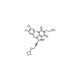 Cn1c2c(c(=O)n(CCO)c1=O)NC(C#CCOC1CCC1)N2Cc1ccc(Cl)c(F)c1